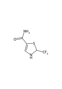 NC(=O)C1=CNC(C(F)(F)F)S1